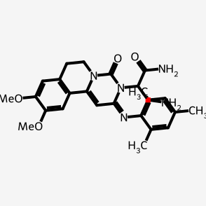 COc1cc2c(cc1OC)-c1c/c(=N/c3c(C)cc(C)cc3C)n(C(CN)C(N)=O)c(=O)n1CC2